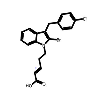 O=C(O)/C=C/CCn1c(Br)c(Cc2ccc(Cl)cc2)c2ccccc21